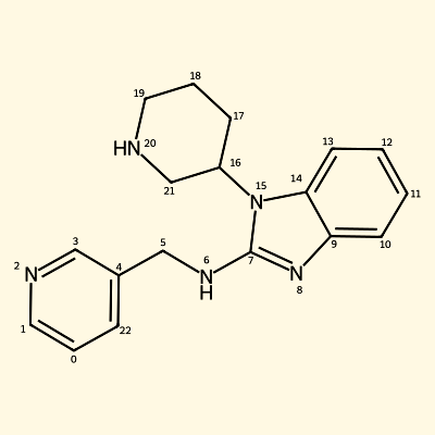 c1cncc(CNc2nc3ccccc3n2C2CCCNC2)c1